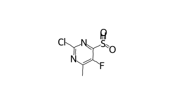 Cc1nc(Cl)nc([SH](=O)=O)c1F